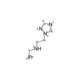 CC(C)CNCCn1cncn1